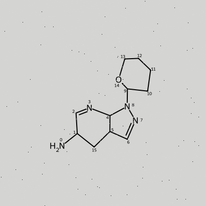 NC1C=NC2C(C=NN2C2CCCCO2)C1